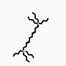 CCCC[N+](CC/C=C/CC/C=C/CC[PH](CCCC)(CCCC)CCCC)(CCCC)CCCC